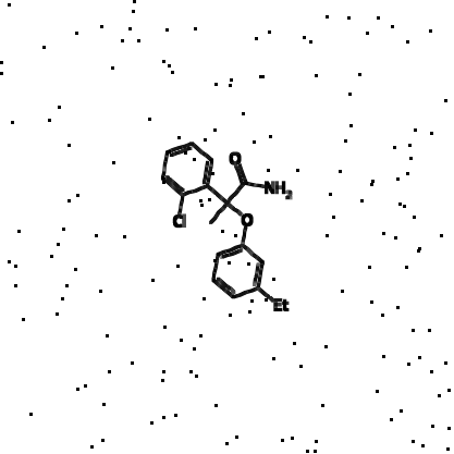 CCc1cccc(OC(C)(C(N)=O)c2ccccc2Cl)c1